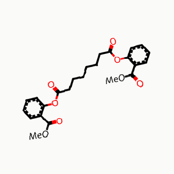 COC(=O)c1ccccc1OC(=O)CCCCCCC(=O)Oc1ccccc1C(=O)OC